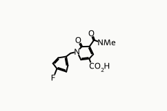 CNC(=O)c1cc(C(=O)O)cn(Cc2ccc(F)cc2)c1=O